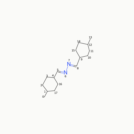 CC1CCC(/C=N/N=C/C2CCC(C)CC2)CC1